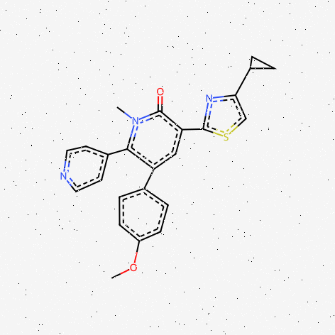 COc1ccc(-c2cc(-c3nc(C4CC4)cs3)c(=O)n(C)c2-c2ccncc2)cc1